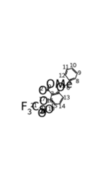 COC(=O)c1c(OCc2ccccc2)cccc1OS(=O)(=O)C(F)(F)F